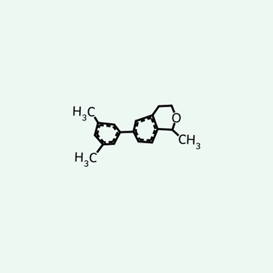 Cc1cc(C)cc(-c2ccc3c(c2)CCOC3C)c1